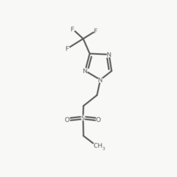 CCS(=O)(=O)CCn1cnc(C(F)(F)F)n1